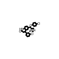 Cn1cncc1C(Oc1ccc(Cl)cc1)c1ccc2[nH]c(=O)cc(-c3cccc(Cl)c3)c2c1